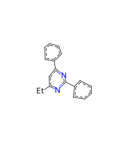 CCc1cc(-c2ccccc2)nc(-c2ccccc2)n1